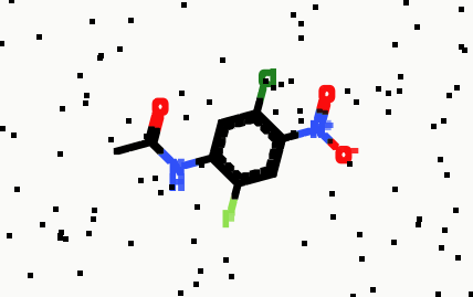 CC(=O)Nc1cc(Cl)c([N+](=O)[O-])cc1F